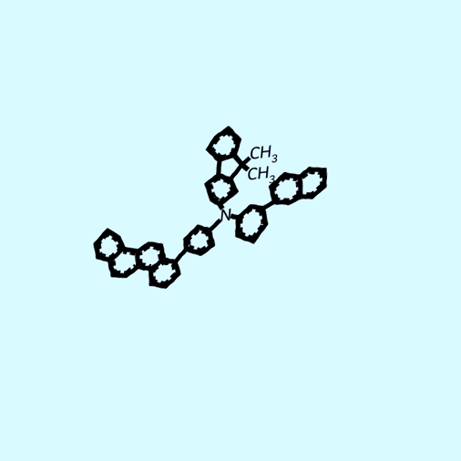 CC1(C)c2ccccc2-c2ccc(N(c3ccc(-c4cccc5c4ccc4c6ccccc6ccc54)cc3)c3cccc(-c4ccc5ccccc5c4)c3)cc21